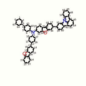 c1ccc(-c2ccc(N(c3ccc(-c4ccc5c(c4)oc4ccccc45)cc3)c3ccc4c(c3)oc3cc(-c5ccc6c7cccc8c9ccccc9n(c6c5)c87)ccc34)cc2)cc1